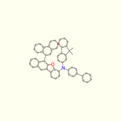 CC1(C)c2ccccc2-c2ccc(N(c3ccc(-c4ccccc4)cc3)c3cccc4c3oc3c(-c5cc6ccccc6c6ccccc56)c5ccccc5cc34)cc21